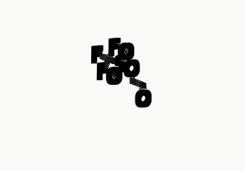 O=CCOS(=O)(=O)C(F)(F)F